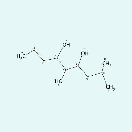 CCCC(O)C(O)C(O)CC(C)C